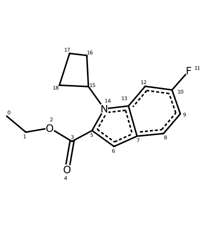 CCOC(=O)c1cc2ccc(F)cc2n1C1CCC1